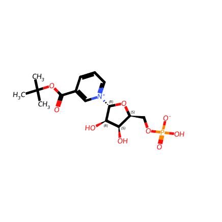 CC(C)(C)OC(=O)c1ccc[n+]([C@@H]2O[C@@H](COP(=O)([O-])O)[C@@H](O)[C@H]2O)c1